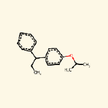 CCC(c1ccccc1)c1ccc(OC(C)C)cc1